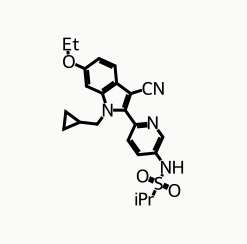 CCOc1ccc2c(C#N)c(-c3ccc(NS(=O)(=O)C(C)C)cn3)n(CC3CC3)c2c1